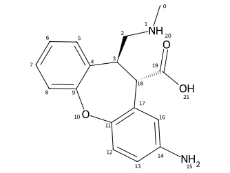 CNC[C@@H]1c2ccccc2Oc2ccc(N)cc2[C@H]1C(=O)O